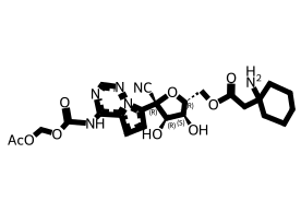 CC(=O)OCOC(=O)Nc1ncnn2c([C@]3(C#N)O[C@H](COC(=O)CC4(N)CCCCC4)[C@@H](O)[C@H]3O)ccc12